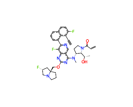 C#Cc1c(F)ccc2cccc(-c3ncc4c(N(C)[C@@H]5CCN(C(=O)C=C)[C@@H]5[C@H](C)O)nc(OC[C@@]56CCCN5C[C@H](F)C6)nc4c3F)c12